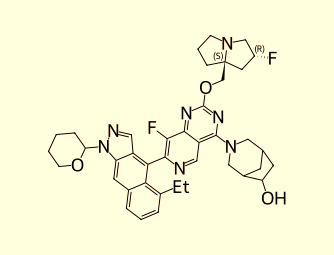 CCc1cccc2cc3c(cnn3C3CCCCO3)c(-c3ncc4c(N5CC6CC(O)C(C6)C5)nc(OC[C@@]56CCCN5C[C@H](F)C6)nc4c3F)c12